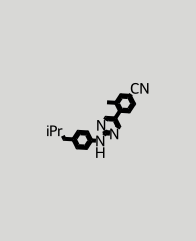 Cc1cc(C#N)ccc1-c1cnc(Nc2ccc(CC(C)C)cc2)nc1